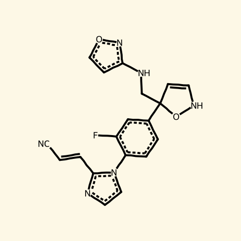 N#CC=Cc1nccn1-c1ccc(C2(CNc3ccon3)C=CNO2)cc1F